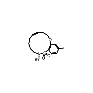 Cc1ccc2c(c1)OCC/C=C\CCCCN(C(C)C)S2(=O)=O